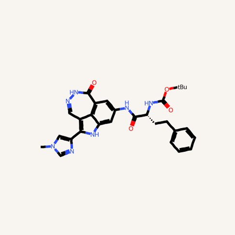 Cn1cnc(-c2[nH]c3cc(NC(=O)[C@@H](CCc4ccccc4)NC(=O)OC(C)(C)C)cc4c3c2C=NNC4=O)c1